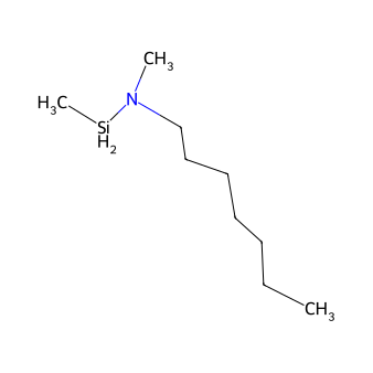 CCCCCCCN(C)[SiH2]C